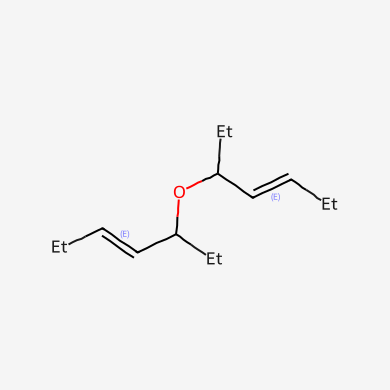 CC/C=C/C(CC)OC(/C=C/CC)CC